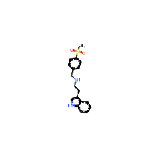 CS(=O)(=O)c1ccc(CNCCc2c[nH]c3ccccc23)cc1